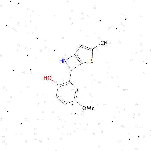 COc1ccc(O)c(C2Nc3cc(C#N)sc32)c1